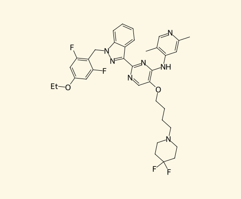 CCOc1cc(F)c(Cn2nc(-c3ncc(OCCCCN4CCC(F)(F)CC4)c(Nc4cc(C)ncc4C)n3)c3ccccc32)c(F)c1